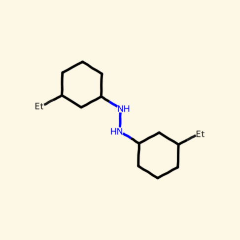 CCC1CCCC(NNC2CCCC(CC)C2)C1